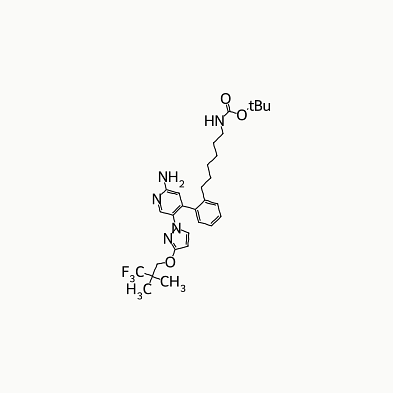 CC(C)(C)OC(=O)NCCCCCCc1ccccc1-c1cc(N)ncc1-n1ccc(OCC(C)(C)C(F)(F)F)n1